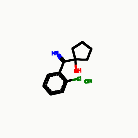 Cl.N=C(c1ccccc1Cl)C1(O)CCCC1